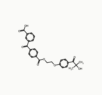 CC(C)(O)C(=O)c1ccc(OCCOC(=O)c2ccc(C(=O)c3cccc(C(=O)O)c3)cc2)cc1